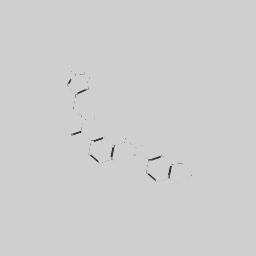 Cc1ccc(C(=O)NCc2cnn(C)c2)cc1NS(=O)(=O)c1ccc2c(c1)OCO2